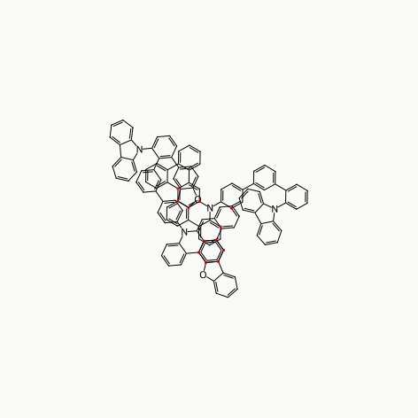 c1cc(-c2ccc(N(c3ccc4c5ccccc5c5ccccc5c4c3)c3ccccc3-c3cccc4c3oc3ccc(-c5cccc(-n6c7ccccc7c7ccccc76)c5-c5cccc(-c6ccc(N(c7ccccc7-c7cccc8c7oc7ccccc78)c7cc8ccccc8c8ccccc78)cc6)c5)cc34)cc2)cc(-c2ccccc2-n2c3ccccc3c3ccccc32)c1